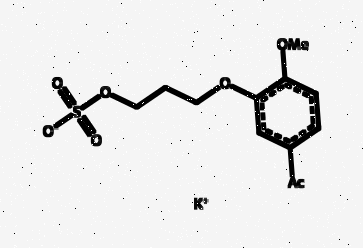 COc1ccc(C(C)=O)cc1OCCCOS(=O)(=O)[O-].[K+]